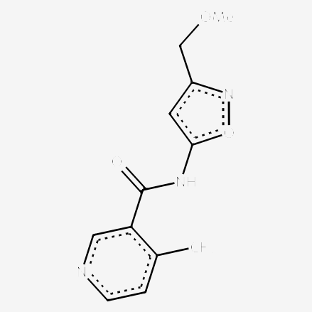 COCc1cc(NC(=O)c2cnccc2C(F)(F)F)on1